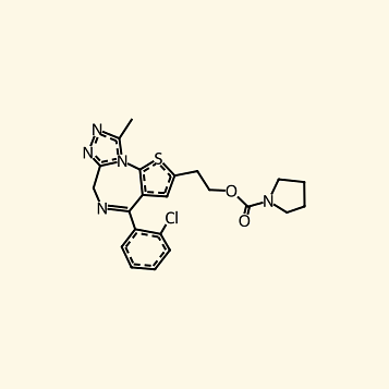 Cc1nnc2n1-c1sc(CCOC(=O)N3CCCC3)cc1C(c1ccccc1Cl)=NC2